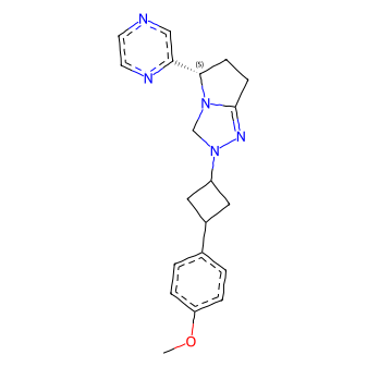 COc1ccc(C2CC(N3CN4C(=N3)CC[C@H]4c3cnccn3)C2)cc1